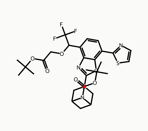 CC(C)(C)OC(=O)COC(c1ccc(-c2nccs2)c2oc(N3CC4CC(C3)N4C(=O)OC(C)(C)C)nc12)C(F)(F)F